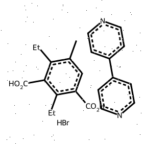 Br.CCc1c(C)cc(C(=O)O)c(CC)c1C(=O)O.c1cc(-c2ccncc2)ccn1